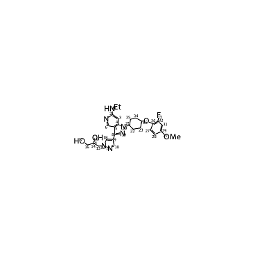 CCNc1cc2c(cn1)c(-c1cnn(C[C@@H](O)CO)c1)nn2C1CCC(Oc2ccc(OC)cc2F)CC1